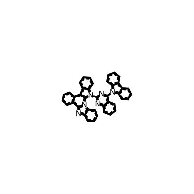 c1ccc2c(-n3c4ccccc4c4ccccc43)nc(-n3c4ccccc4c4c5ccccc5c5nc6ccccc6n5c43)nc2c1